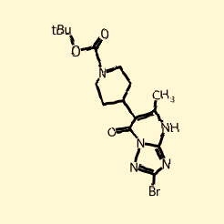 Cc1[nH]c2nc(Br)nn2c(=O)c1C1CCN(C(=O)OC(C)(C)C)CC1